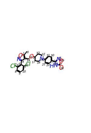 Cc1onc(-c2c(Cl)cccc2Cl)c1COC1CCN(c2ccc(-c3noc(=O)[nH]3)cc2)CC1